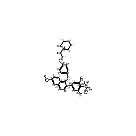 COc1ccc2c(Oc3ccc(OCCN4CCCCC4)cc3)c(-c3cc(F)c(S(C)(=O)=O)c(F)c3)ccc2c1